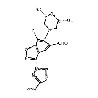 CC(=O)Nc1ccn(-c2noc3c(F)c(N4C[C@@H](C)O[C@@H](C)C4)c(C=O)cc23)n1